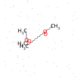 CCCCCCOC(=O)CCCCCCCCCCCCC(C)C(C)C(=O)OCCCCCC